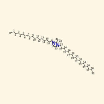 CCCCCCCCCCCCCCCCCCN1C=CN(CCCCCCCCCCCCCCCCCC)C1CC